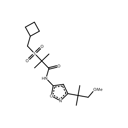 COCC(C)(C)c1cc(NC(=O)C(C)(C)S(=O)(=O)CC2CCC2)on1